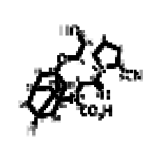 N#C[C@@H]1CCCN1C(=O)CN(C(=O)O)C12CC3C[C@H](CC(OCCO)(C3)C1)C2